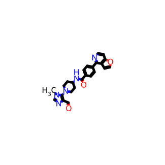 Cn1cnc(C=O)c1N1CCC(NC(=O)c2ccc(-c3nccc4occc34)cc2)CC1